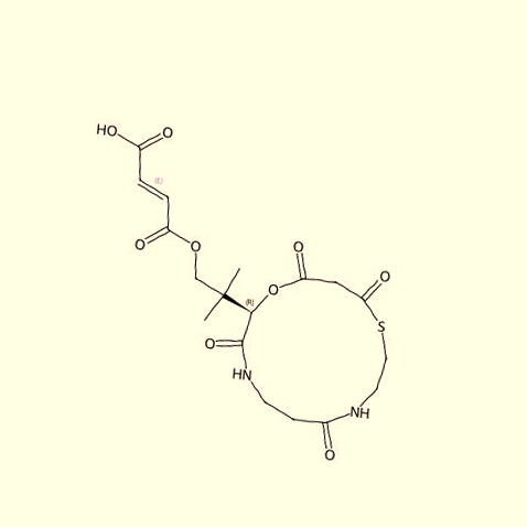 CC(C)(COC(=O)/C=C/C(=O)O)[C@H]1OC(=O)CC(=O)SCCNC(=O)CCNC1=O